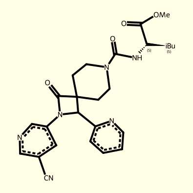 CC[C@H](C)[C@H](NC(=O)N1CCC2(CC1)C(=O)N(c1cncc(C#N)c1)C2c1ccccn1)C(=O)OC